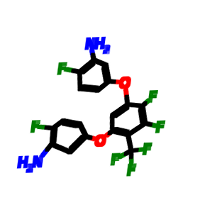 Nc1cc(Oc2cc(Oc3ccc(F)c(N)c3)c(C(F)(F)F)c(F)c2F)ccc1F